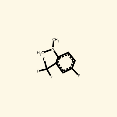 CN(C)c1ccc(F)cc1C(F)(F)F